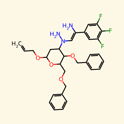 C=CCOC1CC(N(N)/C=C(\N)c2cc(F)c(F)c(F)c2)C(OCc2ccccc2)C(COCc2ccccc2)O1